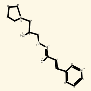 OC(CON=C(Cl)C=Cc1cccnc1)CN1CCCC1